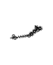 C=CC(=O)OCCCCCCCCCCCOc1ccc(-c2ccc(C(=O)Oc3ccccc3C#N)cc2)cc1